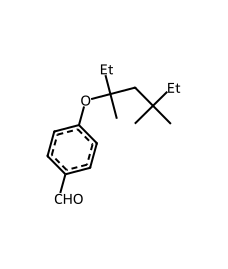 CCC(C)(C)CC(C)(CC)Oc1ccc(C=O)cc1